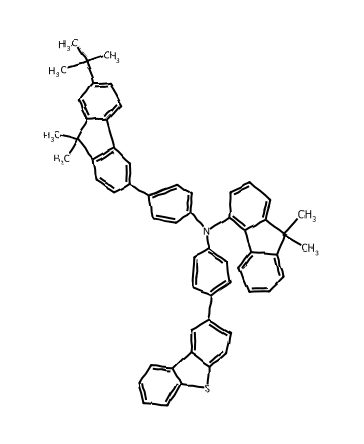 CC(C)(C)c1ccc2c(c1)C(C)(C)c1ccc(-c3ccc(N(c4ccc(-c5ccc6sc7ccccc7c6c5)cc4)c4cccc5c4-c4ccccc4C5(C)C)cc3)cc1-2